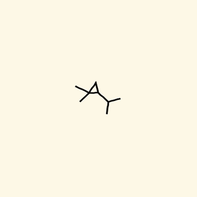 CC(C)C1[CH]C1(C)C